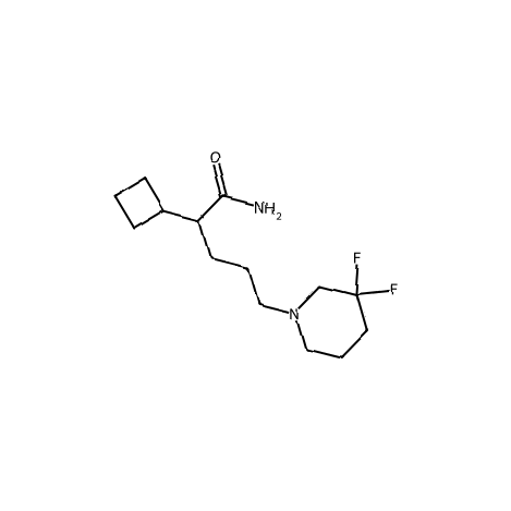 NC(=O)C(CCCN1CCCC(F)(F)C1)C1CCC1